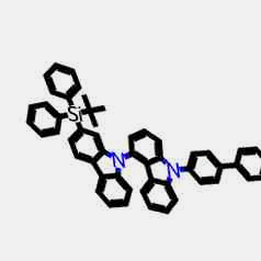 CC(C)(C)[Si](c1ccccc1)(c1ccccc1)c1ccc2c3ccccc3n(-c3cccc4c3c3ccccc3n4-c3ccc(-c4ccccc4)cc3)c2c1